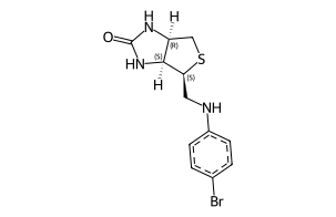 O=C1N[C@H]2[C@H](CS[C@H]2CNc2ccc(Br)cc2)N1